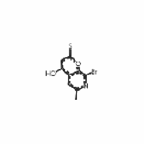 Cc1cc2c(O)cc(=S)oc2c(Br)n1